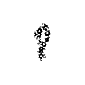 CNC(=O)COc1cc2cc(Nc3nc(N4CCC(O[C@H]5C[C@H](N6CCN(c7ccc8c(c7C)CN(C7CCC(=O)NC7=O)C8=O)CC6)C5)CC4)ncc3Cl)ccc2n(C(C)C)c1=O